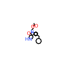 CC(=O)OCCN1C(=O)C2(CCNCC2)c2cc(CC3CCCCCCC3)ccc21